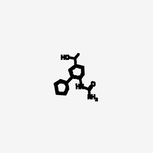 CC(O)c1ccc(NC(N)=O)c(-c2ccccc2)c1